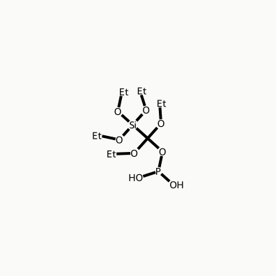 CCOC(OCC)(OP(O)O)[Si](OCC)(OCC)OCC